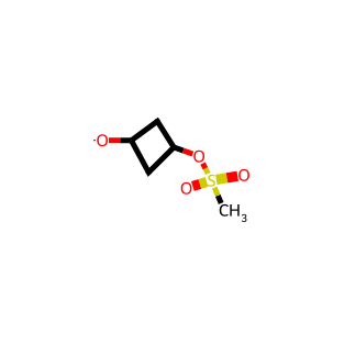 CS(=O)(=O)OC1CC([O])C1